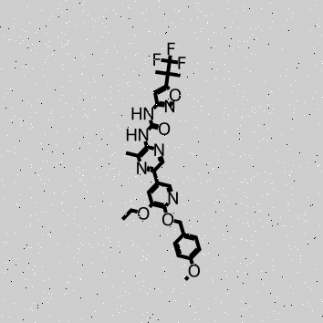 CCOc1cc(-c2cnc(NC(=O)Nc3cc(C(C)(C)C(F)(F)F)on3)c(C)n2)cnc1OCc1ccc(OC)cc1